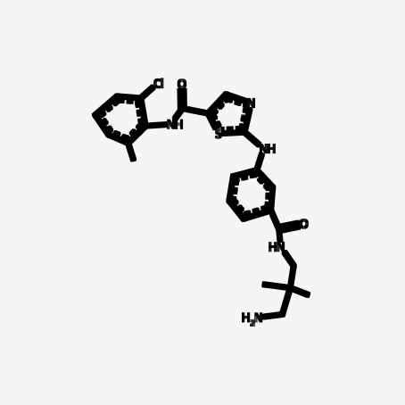 Cc1cccc(Cl)c1NC(=O)c1cnc(Nc2cccc(C(=O)NCC(C)(C)CN)c2)s1